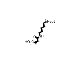 CCCCCCCCCCCCNC(=O)/C=C\C(=O)O